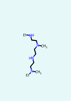 CCNCCN(C)CCNCCN(C)CC